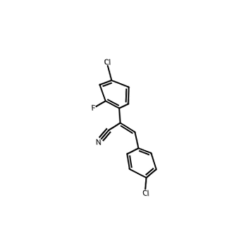 N#C/C(=C\c1ccc(Cl)cc1)c1ccc(Cl)cc1F